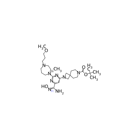 COCCCN1CCCN(c2nc(/C(N)=N\O)cc(N3CC4(CCN(C(=O)OC(C)(C)C)CC4)C3)n2)[C@@H](C)C1